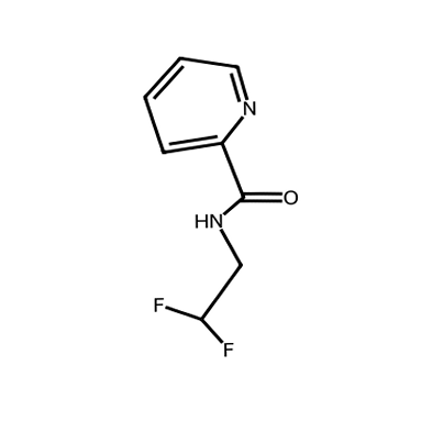 O=C(NCC(F)F)c1ccccn1